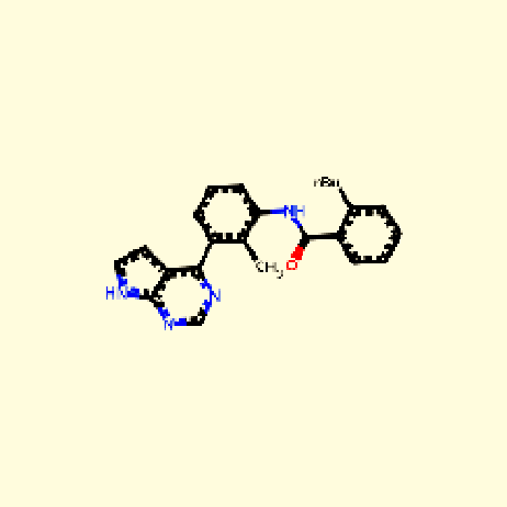 CCCCc1ccccc1C(=O)Nc1cccc(-c2ncnc3[nH]ccc23)c1C